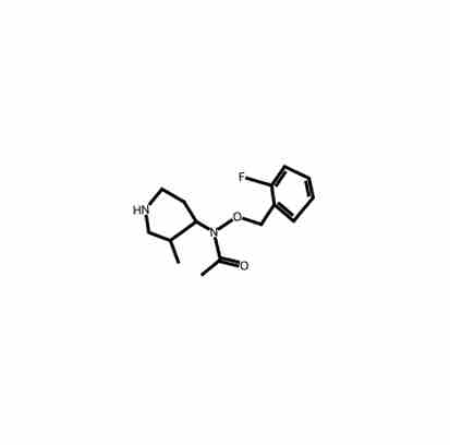 CC(=O)N(OCc1ccccc1F)C1CCNCC1C